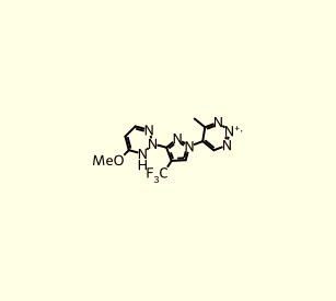 COC1=CC=NN(c2nn(C3=CN=[N+]N=C3C)cc2C(F)(F)F)N1